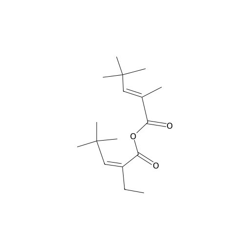 CCC(=CC(C)(C)C)C(=O)OC(=O)C(C)=CC(C)(C)C